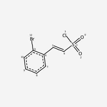 O=S(=O)(Cl)/C=C/c1ccccc1Br